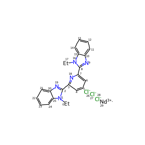 CCn1c(-c2cccc(-c3nc4ccccc4n3CC)n2)nc2ccccc21.[Cl-].[Cl-].[Cl-].[Nd+3]